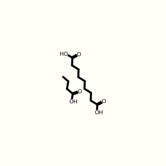 CCCC(=O)O.O=C(O)CCCCCCCC(=O)O